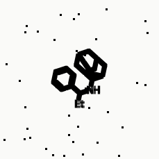 CCC(NC1C2CC3CC(C2)CC1C3)c1ccccc1